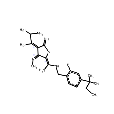 CCC(C)(O)c1ccc(CN\C(N)=C2/SC(=N)C(=C(/C)C(C)N)/C2=N/C)c(F)c1